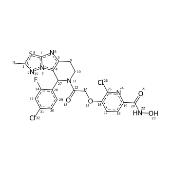 Cc1nn2c3c(nc2s1)CCN(C(=O)COc1ccc(C(=O)NO)nc1Cl)C3c1ccc(Cl)cc1F